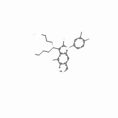 COCCC[C@H](CCCC(=O)O)c1c(C(C)C)n(-c2ccc(F)c(C)c2)c2cc3cn[nH]c3c(F)c12